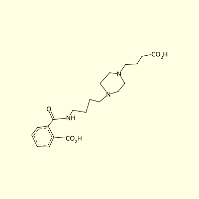 O=C(O)CCCN1CCN(CCCCNC(=O)c2ccccc2C(=O)O)CC1